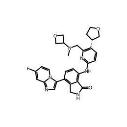 CN(Cc1nc(Nc2ccc(-c3cnc4cc(F)ccn34)c3c2C(=O)NC3)ccc1[C@@H]1CCOC1)C1COC1